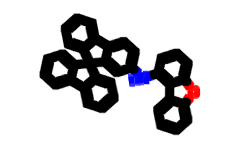 c1ccc2c(c1)-c1ccccc1C21c2ccccc2-c2ccc(Nc3cccc4oc5ccccc5c34)cc21